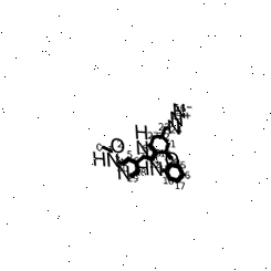 CC(=O)Nc1cc(-c2[nH]c3c(c2Nc2ccccc2)C(=O)CC(CN=[N+]=[N-])C3)ccn1